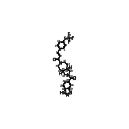 O=C(C=Cc1ccc(SC(F)(F)F)cc1)N1CC[C@@H]2CN(C(=O)c3ccc4[nH]nnc4c3)C[C@@H]2CC1